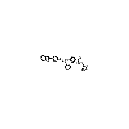 O=C(NCc1nn[nH]n1)c1ccc(NC(COc2ccc(-c3cc4ccccc4o3)cn2)c2ccccc2)cc1